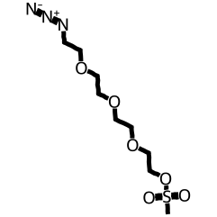 CS(=O)(=O)OCCOCCOCCOCCN=[N+]=[N-]